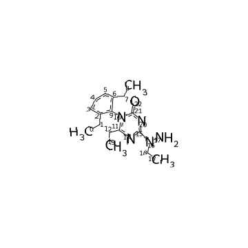 CCc1cccc(CC)c1-n1c(CC)nc(N(N)CC)nc1=O